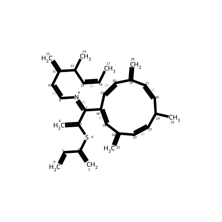 C=CC(=C)SC(=C)C(=N\C=C/C(=C)C(C)/C=C\C)/C1=C/C(=C)/C=C\C(C)/C=C\C(=C)/C=C\1